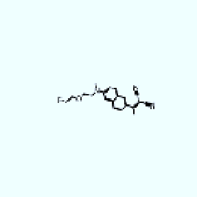 CC(=C(C#N)C#N)c1ccc2cc(N(C)CCOCCF)ccc2c1